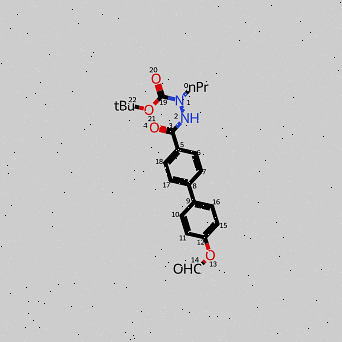 CCCN(NC(=O)c1ccc(-c2ccc(OC=O)cc2)cc1)C(=O)OC(C)(C)C